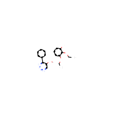 CCOc1cccc(O)c1OCC.COc1cnnnc1-c1ccccc1